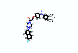 N#Cc1ccc(N[C@H]2CC[C@H](OCC(=O)N3CCN(c4ccc5cc(F)ccc5c4F)CC3)CC2)cc1C(F)(F)F